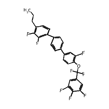 CCCc1ccc(-c2ccc(-c3ccc(OC(F)(F)c4cc(F)c(F)c(F)c4)c(F)c3)cc2)c(F)c1F